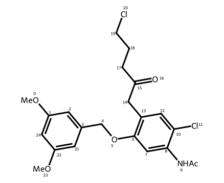 COc1cc(COc2cc(NC(C)=O)c(Cl)cc2CC(=O)CCCCl)cc(OC)c1